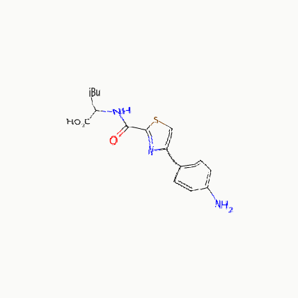 CCC(C)C(NC(=O)c1nc(-c2ccc(N)cc2)cs1)C(=O)O